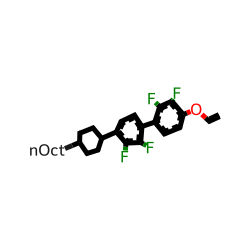 C=COc1ccc(-c2ccc(C3CCC(CCCCCCCC)CC3)c(F)c2F)c(F)c1F